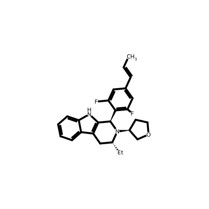 C/C=C/c1cc(F)c([C@@H]2c3[nH]c4ccccc4c3C[C@@H](CC)N2[C@H]2CCOC2)c(F)c1